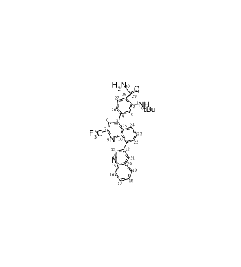 CC(C)(C)Nc1cc(-c2cc(C(F)(F)F)nc3c(-c4cnc5ccccc5c4)cccc23)ccc1C(N)=O